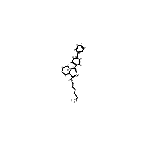 NCCCCCNC(=O)C1CCCCN1C(=O)c1ccc(-c2ccccc2)cc1